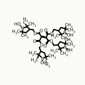 CC1(C)CC(COC(=O)C(C(=O)OCC2CC(C)(C)N(O)C2(C)C)=C(C(=O)OCC2CC(C)(C)N(O)C2(C)C)C(=O)OCC2CC(C)(C)N(O)C2(C)C)C(C)(C)N1O